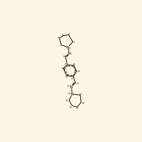 C(=N\N1CCCCC1)/c1ccc(/C=N/N2CCCCC2)cc1